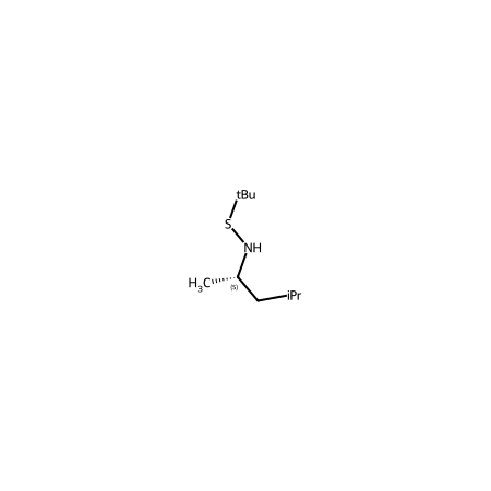 CC(C)C[C@H](C)NSC(C)(C)C